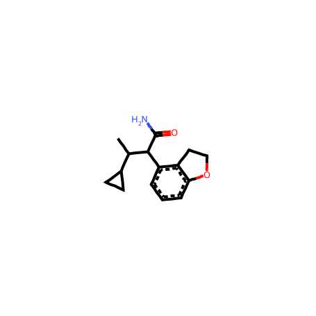 CC(C1CC1)C(C(N)=O)c1cccc2c1CCO2